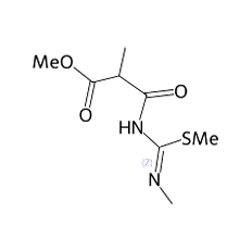 C/N=C(/NC(=O)C(C)C(=O)OC)SC